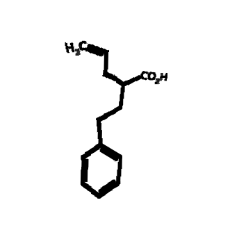 C=CCC(CCc1ccccc1)C(=O)O